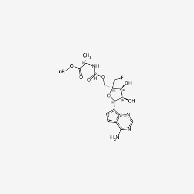 CCCOC(=O)[C@H](C)N[PH](=O)OC[C@@]1(CF)O[C@@H](c2ccc3c(N)ncnn23)[C@H](O)[C@@H]1O